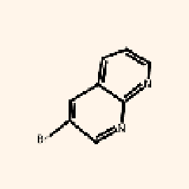 Brc1cnc2nc[c]cc2c1